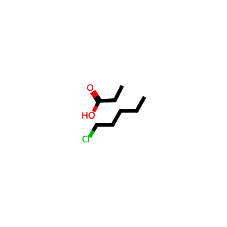 CCC(=O)O.CCCCCCl